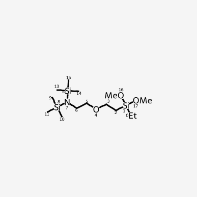 CC[Si](CCOCCN([Si](C)(C)C)[Si](C)(C)C)(OC)OC